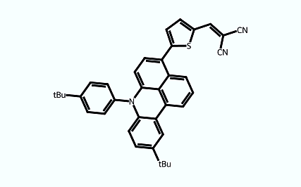 CC(C)(C)c1ccc(N2c3ccc(C(C)(C)C)cc3-c3cccc4c(-c5ccc(C=C(C#N)C#N)s5)ccc2c34)cc1